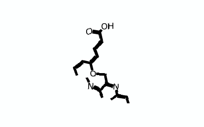 C\C=C/C(=C\C=C\C(=O)O)OCC(=N/C(C)=C/C)/C(C)=N\C